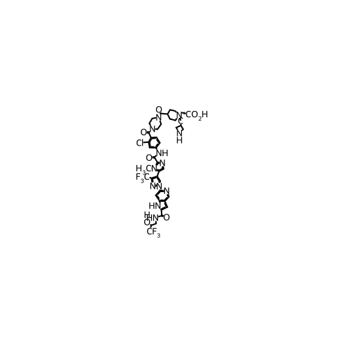 Cn1c(-c2cn(-c3cc4[nH]c(C(=O)NCC(O)C(F)(F)F)cc4cn3)nc2C(F)(F)F)cnc1C(=O)Nc1ccc(C(=O)N2CCN(C(=O)C3CC[N+](CC(=O)O)(CC4CNC4)CC3)CC2)c(Cl)c1